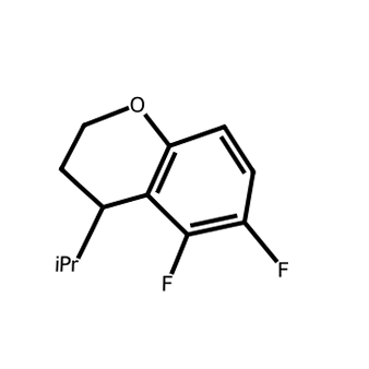 CC(C)C1CCOc2ccc(F)c(F)c21